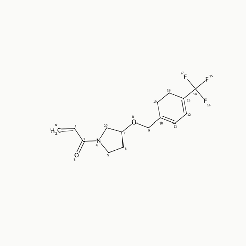 C=CC(=O)N1CCC(OCC2=CC=C(C(F)(F)F)CC2)C1